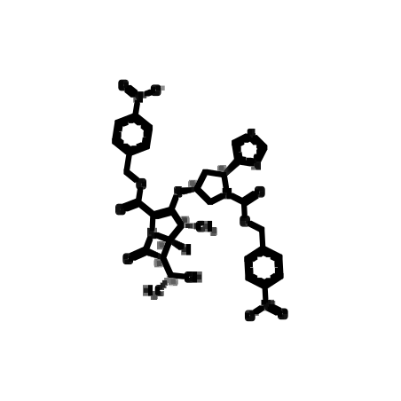 C[C@@H](O)[C@H]1C(=O)N2C(C(=O)OCc3ccc([N+](=O)[O-])cc3)=C(S[C@H]3C[C@@H](c4cscn4)N(C(=O)OCc4ccc([N+](=O)[O-])cc4)C3)[C@H](C)[C@H]12